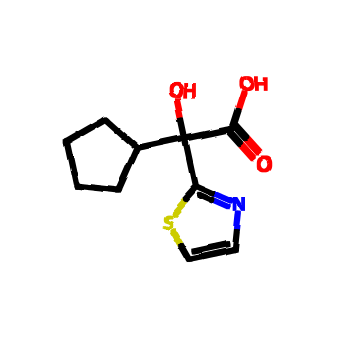 O=C(O)C(O)(c1nccs1)C1CCCC1